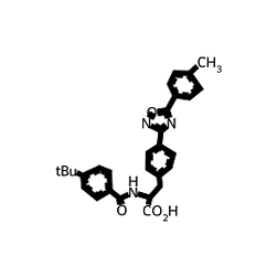 Cc1ccc(-c2nc(-c3ccc(CC(NC(=O)c4ccc(C(C)(C)C)cc4)C(=O)O)cc3)no2)cc1